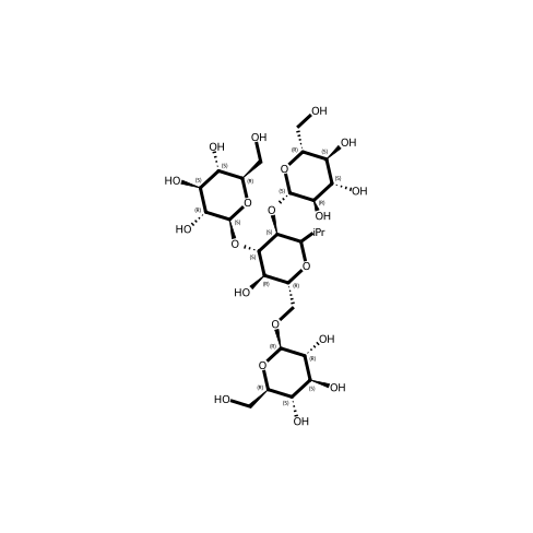 CC(C)C1O[C@H](CO[C@@H]2O[C@H](CO)[C@@H](O)[C@H](O)[C@H]2O)[C@@H](O)[C@H](O[C@@H]2O[C@H](CO)[C@@H](O)[C@H](O)[C@H]2O)[C@H]1O[C@@H]1O[C@H](CO)[C@@H](O)[C@H](O)[C@H]1O